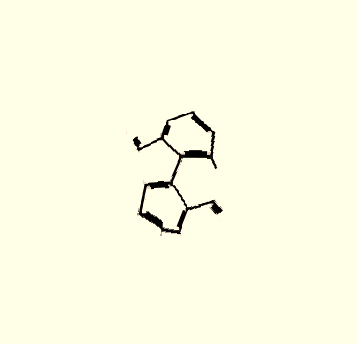 O=Cc1ccccc1-c1c(Cl)cccc1C=O